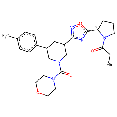 CC(C)(C)CC(=O)N1CCC[C@H]1c1nc(C2CC(c3ccc(C(F)(F)F)cc3)CN(C(=O)N3CCOCC3)C2)no1